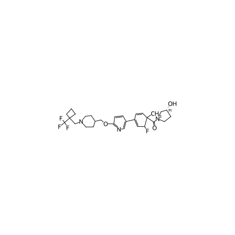 CC1(C(=O)N2CC[C@@H](O)C2)C=CC(c2ccc(OCC3CCN(CC4(C(F)(F)F)CCC4)CC3)nc2)=CC1F